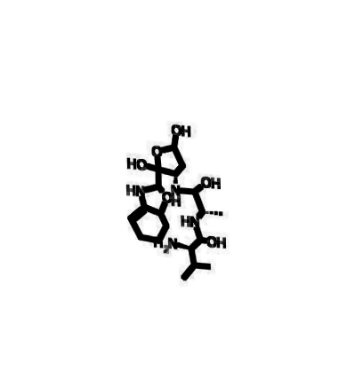 CC(C)[C@@H](N)C(O)N[C@@H](C)C(O)N[C@H]1CC(O)OC1(O)C1NC2=CCCCC2O1